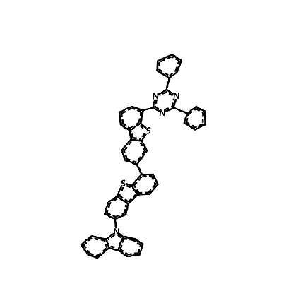 c1ccc(-c2nc(-c3ccccc3)nc(-c3cccc4c3sc3cc(-c5cccc6c5sc5ccc(-n7c8ccccc8c8ccccc87)cc56)ccc34)n2)cc1